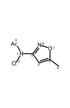 CC(=O)N(Cl)c1cc(C)on1